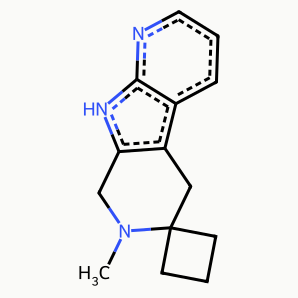 CN1Cc2[nH]c3ncccc3c2CC12CCC2